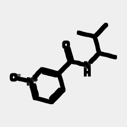 CC(C)C(C)NC(=O)c1ccc[n+]([O-])c1